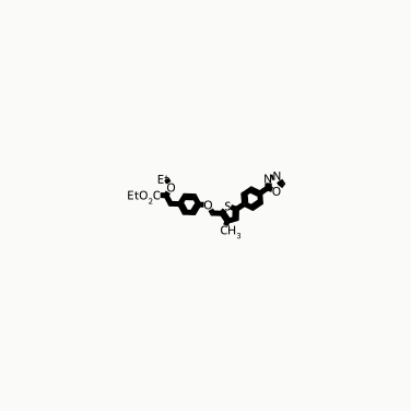 CCOC(=O)C(Cc1ccc(OCc2sc(-c3ccc(-c4nnco4)cc3)cc2C)cc1)OCC